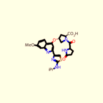 COc1ccc2c(O[C@@H]3C[C@@H](C(=O)O)N(C(=O)C4CCC(=O)N4)C3)cc(-c3csc(NC(C)C)n3)nc2c1